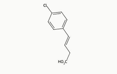 O=C(O)C/C=C/c1ccc(Cl)cc1